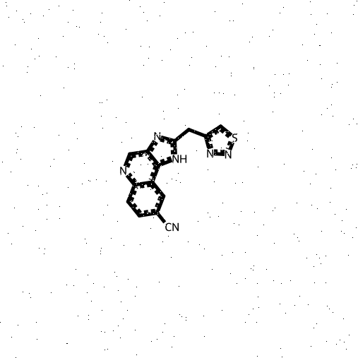 N#Cc1ccc2ncc3nc(Cc4csnn4)[nH]c3c2c1